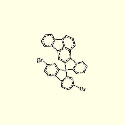 Brc1ccc2c(c1)C1(c3cc(Br)ccc3-2)c2ccccc2-c2c1cc1c3c(cccc23)-c2ccccc2-1